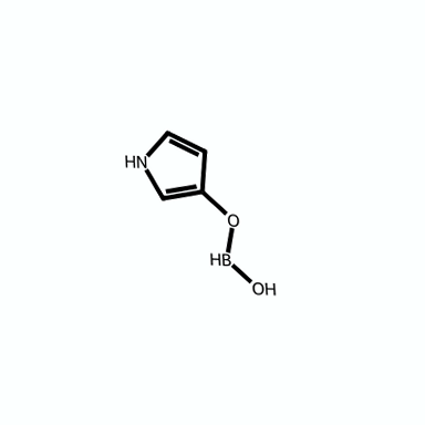 OBOc1cc[nH]c1